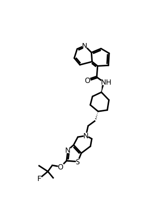 CC(C)(F)COc1nc2c(s1)CCN(CC[C@H]1CC[C@H](NC(=O)c3cccc4ncccc34)CC1)C2